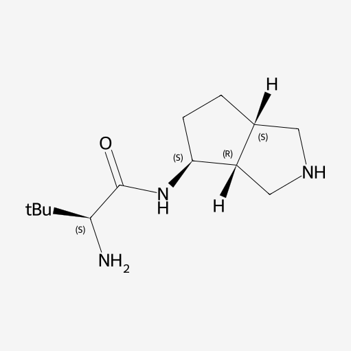 CC(C)(C)[C@H](N)C(=O)N[C@H]1CC[C@@H]2CNC[C@@H]21